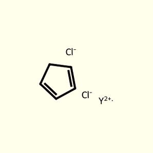 C1=CCC=C1.[Cl-].[Cl-].[Y+2]